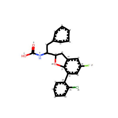 O=C(O)NC(Cc1ccccc1)C1Cc2cc(F)cc(-c3ccccc3Cl)c2O1